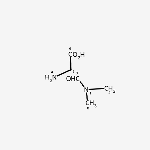 CN(C)C=O.NCC(=O)O